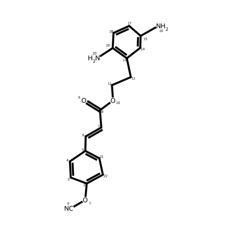 N#COc1ccc(/C=C/C(=O)OCCc2cc(N)ccc2N)cc1